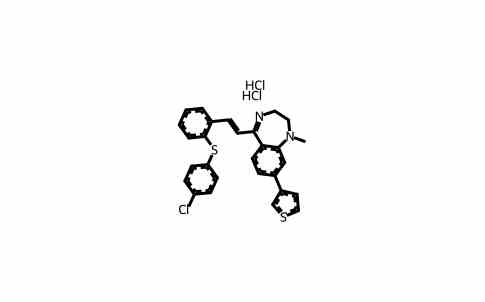 CN1CCN=C(C=Cc2ccccc2Sc2ccc(Cl)cc2)c2ccc(-c3ccsc3)cc21.Cl.Cl